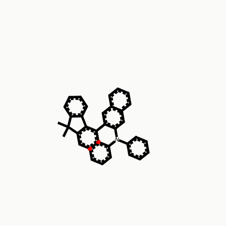 CC1(C)c2ccccc2-c2c(-c3cc4ccccc4cc3N(c3ccccc3)c3ccccc3)cccc21